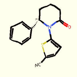 N#Cc1ccc(N2C(=O)CCC[C@H]2c2ccccc2)s1